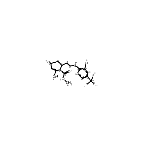 COC(=O)C1C(O)=CC(=O)CC1CCSc1ncc(C(F)(F)F)cc1Cl